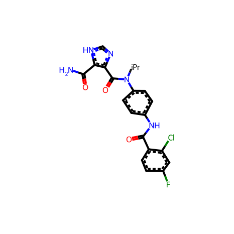 CC(C)N(C(=O)c1nc[nH]c1C(N)=O)c1ccc(NC(=O)c2ccc(F)cc2Cl)cc1